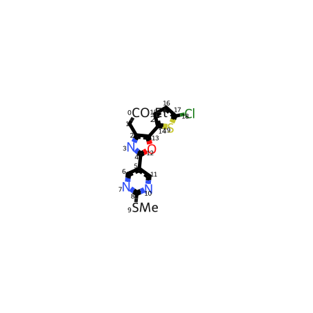 CCOC(=O)Cc1nc(-c2cnc(SC)nc2)oc1-c1ccc(Cl)s1